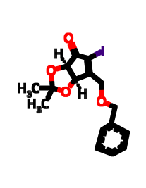 CC1(C)O[C@@H]2C(COCc3ccccc3)=C(I)C(=O)[C@@H]2O1